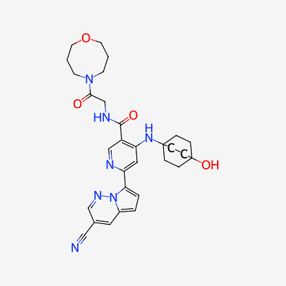 N#Cc1cnn2c(-c3cc(NC45CCC(O)(CC4)CC5)c(C(=O)NCC(=O)N4CCCOCCC4)cn3)ccc2c1